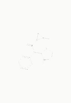 O=C1OCCC1N(C(=O)C1CC1Cl)c1ccccc1